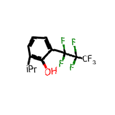 CC(C)c1cccc(C(F)(F)C(F)(F)C(F)(F)F)c1O